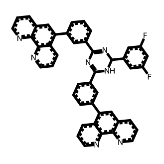 Fc1cc(F)cc(C2N=C(c3cccc(-c4cc5cccnc5c5ncccc45)c3)N=C(c3cccc(-c4cc5cccnc5c5ncccc45)c3)N2)c1